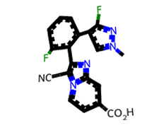 Cn1cc(-c2cccc(F)c2-c2nc3cc(C(=O)O)ccn3c2C#N)c(F)n1